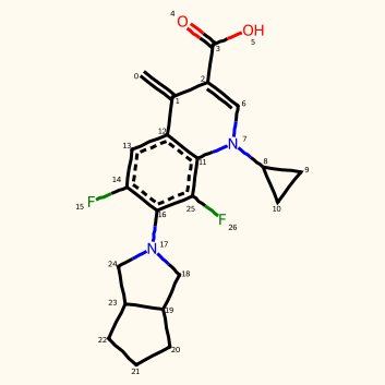 C=C1C(C(=O)O)=CN(C2CC2)c2c1cc(F)c(N1CC3CCCC3C1)c2F